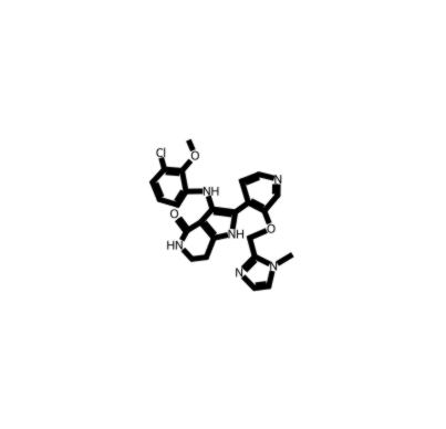 COc1c(Cl)cccc1Nc1c(-c2ccncc2OCc2nccn2C)[nH]c2c1C(=O)NCC2